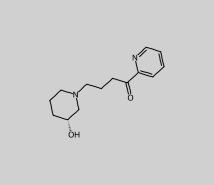 O=C(CCCN1CCC[C@@H](O)C1)c1ccccn1